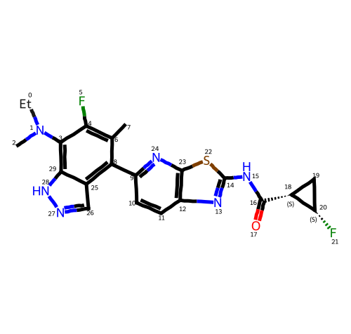 CCN(C)c1c(F)c(C)c(-c2ccc3nc(NC(=O)[C@@H]4C[C@@H]4F)sc3n2)c2cn[nH]c12